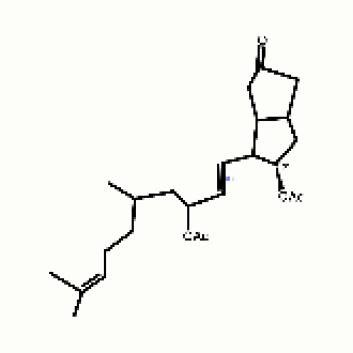 CC(=O)OC(/C=C/C1C2CC(=O)CC2C[C@H]1OC(C)=O)CC(C)CCC=C(C)C